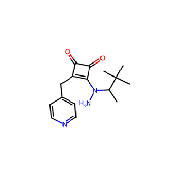 CC(N(N)c1c(Cc2ccncc2)c(=O)c1=O)C(C)(C)C